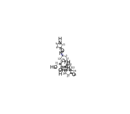 C[C@]12CC/C(=N\O[C@H]3CCNC3)CC1[C@@H](CO)[C@@H](O)[C@@H]1[C@@H]2CC[C@]2(C)C(=O)CC[C@@H]12